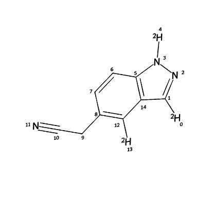 [2H]c1nn([2H])c2ccc(CC#N)c([2H])c12